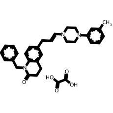 Cc1cccc(N2CCN(C=CCc3ccc4c(c3)CCC(=O)N4Cc3ccccc3)CC2)c1.O=C(O)C(=O)O